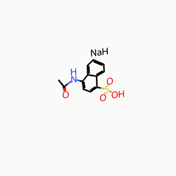 CC(=O)Nc1ccc(S(=O)(=O)O)c2ccccc12.[NaH]